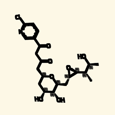 C[C@H]([C@@H]1O[C@H]1C[C@@H]1O[C@H](CC(=O)CC(=O)c2ccc(Cl)nc2)C[C@@H](O)[C@H]1O)[C@H](C)O